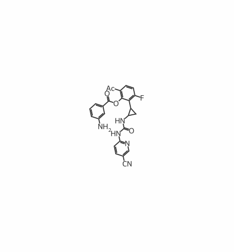 CC(=O)c1ccc(F)c(C2CC2NC(=O)Nc2ccc(C#N)cn2)c1OC(=O)c1cccc(N)c1